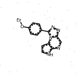 CCOc1ccc(-c2nnc3cnc4[nH]ccc4n23)cc1